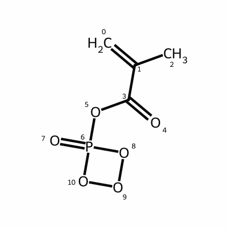 C=C(C)C(=O)OP1(=O)OOO1